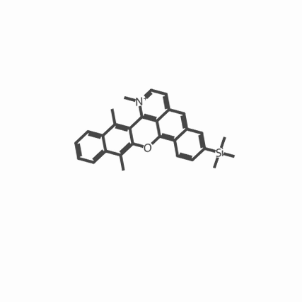 Cc1c2c(c(C)c3ccccc13)-c1c3c(c4ccc([Si](C)(C)C)cc4cc3cc[n+]1C)O2